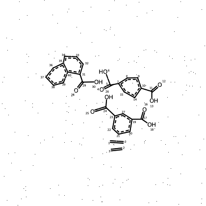 C=C.C=C.O=C(O)c1ccc(C(=O)O)cc1.O=C(O)c1cccc(C(=O)O)c1.O=C(O)c1cccc2ccccc12